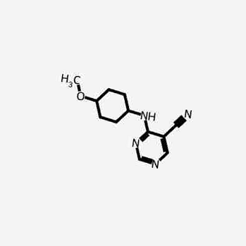 COC1CCC(Nc2ncncc2C#N)CC1